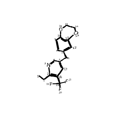 CCc1ncc(Cc2ccc3c(c2)OCCO3)cc1C(F)(F)F